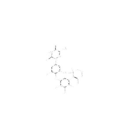 CC1=C(c2cc(Oc3c(Cl)cc(-n4nc(C#N)c(=O)[nH]c4=O)cc3Cl)c(F)c(F)c2C)C(C)(C)COC1